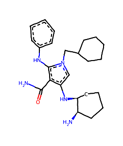 NC(=O)c1c(N[C@H]2CCCC[C@H]2N)cn(CC2CCCCC2)c1Nc1ccccc1